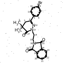 CC1(C)CC(c2ccc(Br)cc2)=NN(CCN2C(=O)c3ccccc3C2=O)C1=O